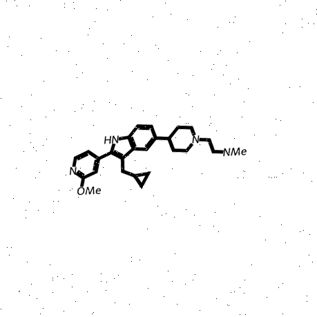 CNCCN1CCC(c2ccc3[nH]c(-c4ccnc(OC)c4)c(CC4CC4)c3c2)CC1